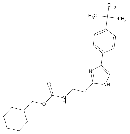 CC(C)(C)c1ccc(-c2c[nH]c(CCNC(=O)OCC3CCCCC3)n2)cc1